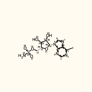 Cc1ncnc2c1ncn2[C@@H]1O[C@H](COS(N)(=O)=O)[C@@H](O)[C@H]1O